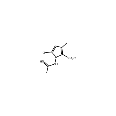 CCOC(=O)c1c(C)cc(Cl)n1NC(C)=N